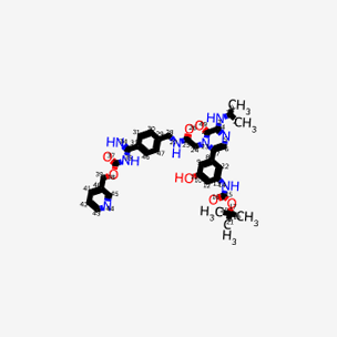 CC(C)Nc1ncc(-c2cc(O)cc(NC(=O)OC(C)(C)C)c2)n(CC(=O)NCc2ccc(C(=N)NC(=O)OCc3cccnc3)cc2)c1=O